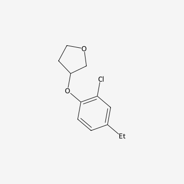 CCc1ccc(OC2CCOC2)c(Cl)c1